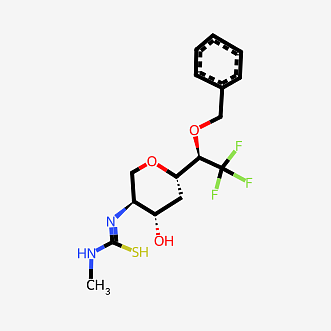 CN/C(S)=N/[C@H]1CO[C@H]([C@@H](OCc2ccccc2)C(F)(F)F)C[C@@H]1O